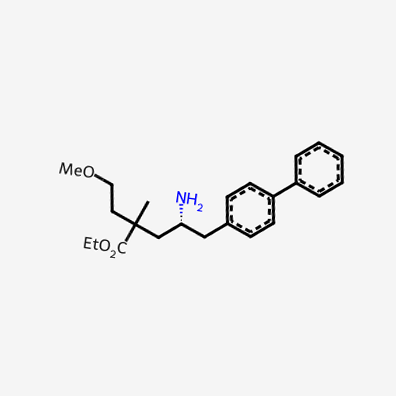 CCOC(=O)C(C)(CCOC)C[C@H](N)Cc1ccc(-c2ccccc2)cc1